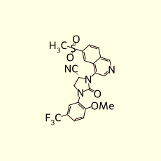 COc1ccc(C(F)(F)F)cc1N1C[C@H](C#N)N(c2cncc3ccc(S(C)(=O)=O)cc23)C1=O